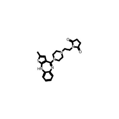 Cc1cc2c(s1)Nc1ccccc1N=C2N1CCN(CCN2C(=O)CCC2=O)CC1